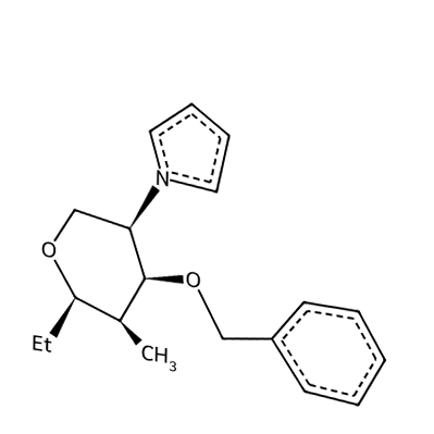 CC[C@H]1OC[C@@H](n2cccc2)[C@@H](OCc2ccccc2)[C@H]1C